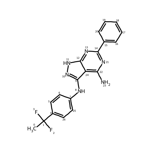 CC(F)(F)c1ccc(Nc2n[nH]c3nc(-c4ccccc4)nc(N)c23)cc1